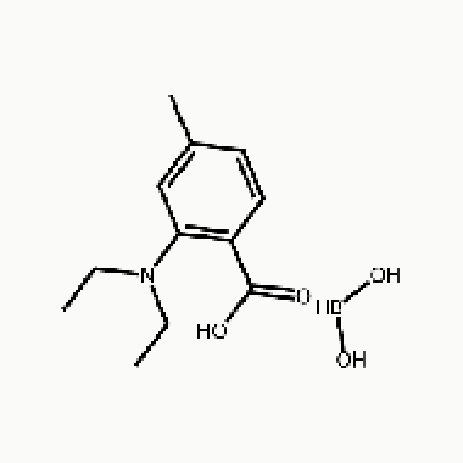 CCN(CC)c1cc(C)ccc1C(=O)O.OBO